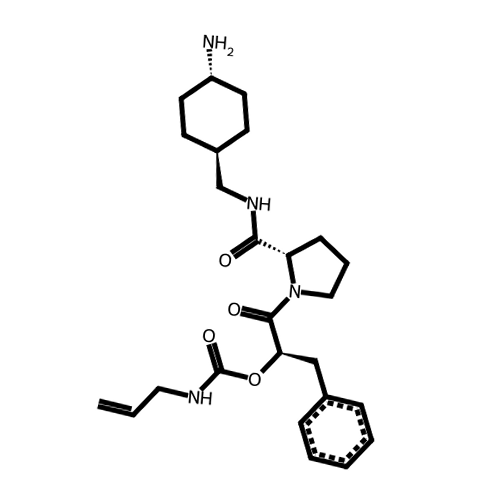 C=CCNC(=O)O[C@H](Cc1ccccc1)C(=O)N1CCC[C@H]1C(=O)NC[C@H]1CC[C@H](N)CC1